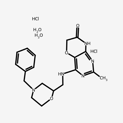 Cc1nc(NCC2CN(Cc3ccccc3)CCO2)c2c(n1)NC(=O)CO2.Cl.Cl.O.O